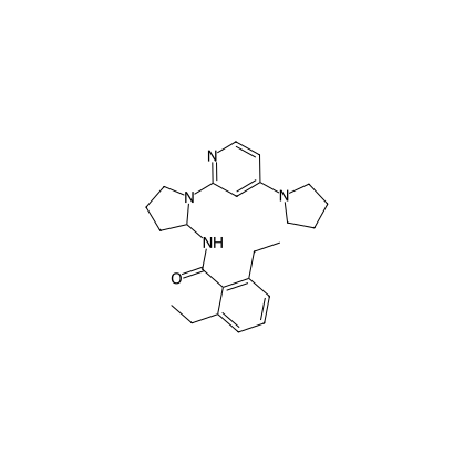 CCc1cccc(CC)c1C(=O)NC1CCCN1c1cc(N2CCCC2)ccn1